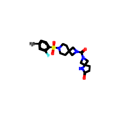 O=C1CCC2(CN(C(=O)N3CC4(CCN(S(=O)(=O)c5ccc(C(F)(F)F)cc5F)CC4)C3)C2)N1